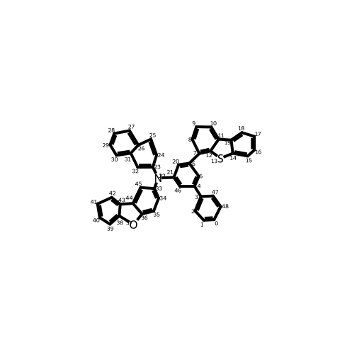 c1ccc(-c2cc(-c3cccc4c3sc3ccccc34)cc(N(c3ccc4ccccc4c3)c3ccc4oc5ccccc5c4c3)c2)cc1